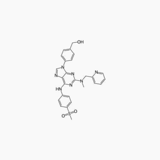 CN(Cc1ccccn1)c1nc(Nc2ccc(S(C)(=O)=O)cc2)c2ncn(-c3ccc(CO)cc3)c2n1